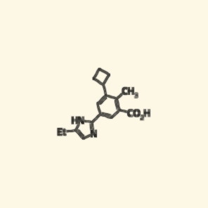 CCc1cnc(-c2cc(C(=O)O)c(C)c(C3CCC3)c2)[nH]1